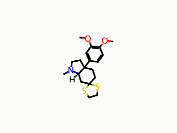 COc1ccc(C23CCN(C)[C@H]2CC2(CC3)SCCS2)cc1OC